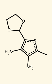 Bc1c(C)sc(C2OCCO2)c1B